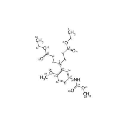 CCOC(=O)CCN(CCC(=O)OCC)c1cc(NC(=O)OC)ccc1OC